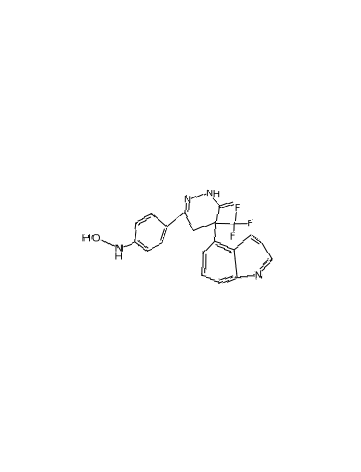 C=C1NN=C(c2ccc(NO)cc2)CC1(c1cccc2ncccc12)C(F)(F)F